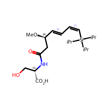 CO[C@@H](/C=C/C=C\[Si](C(C)C)(C(C)C)C(C)C)CC(=O)N[C@@H](CO)C(=O)O